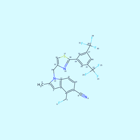 Cc1cc2c(CF)c(C#N)ccc2n1Cc1csc(-c2cc(C(F)(F)F)cc(C(F)(F)F)c2)n1